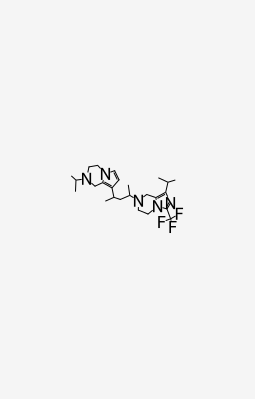 CC(C)c1nc(C(F)(F)F)n2c1CN(C(C)CC(C)c1ccn3c1CN(C(C)C)CC3)CC2